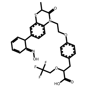 CC1Sc2cc(C3C=CC=CC3=NO)ccc2N(CCOc2ccc(CC(OCC(F)(F)F)C(=O)O)cc2)C1=O